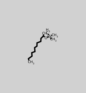 CCCCCCCCCCC(C)O[Si](C)(C)C